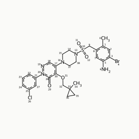 Cc1cc(Br)c(N)cc1CS(=O)(=O)N1CCN(c2cnn(-c3cccc(Cl)c3)c(=O)c2OCC2(C)CC2)CC1